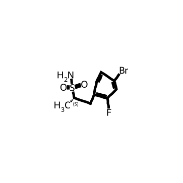 C[C@@H](Cc1ccc(Br)cc1F)S(N)(=O)=O